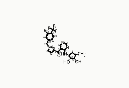 [CH2][C@@H]1C[C@@H](Nc2ncncc2C(=O)c2ccn(Cc3ccc(C(F)(F)F)c(F)c3)n2)[C@H](O)[C@@H]1O